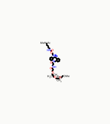 CNC(CCCCNC(=O)OCCn1nnc2c1-c1ccccc1N(C(=O)CCNC(=O)CCOCC(C)(C)COCC(C)(C)COCCOC)Cc1ccccc1-2)C(C)=O